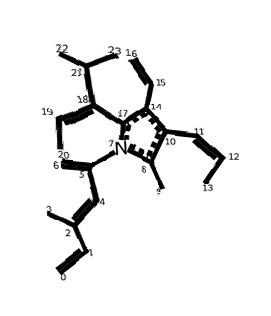 C=C/C(C)=C/C(=C)n1c(C)c(/C=C\C)c(C=C)c1/C(=C\C)C(C)C